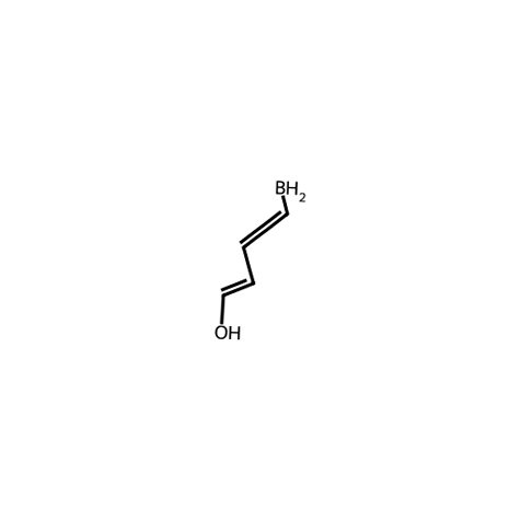 B/C=C/C=C/O